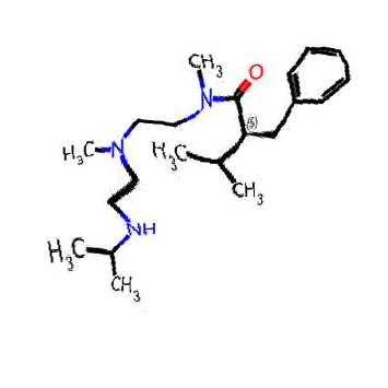 CC(C)NCCN(C)CCN(C)C(=O)[C@@H](Cc1ccccc1)C(C)C